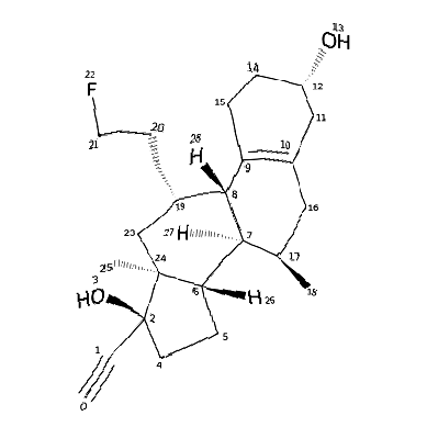 C#C[C@@]1(O)CC[C@H]2[C@H]3[C@@H](C4=C(C[C@@H](O)CC4)C[C@H]3C)[C@@H](CCF)C[C@@]21C